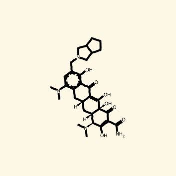 CN(C)c1cc(CN2CC3CCCC3C2)c(O)c2c1C[C@H]1C[C@H]3[C@H](N(C)C)C(O)=C(C(N)=O)C(=O)[C@@]3(O)C(O)=C1C2=O